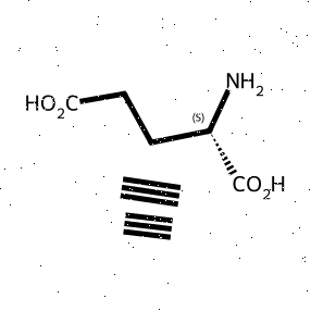 C#C.C#C.N[C@@H](CCC(=O)O)C(=O)O